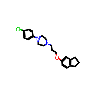 Clc1ccc(N2CCN(CCCOc3ccc4c(c3)CCC4)CC2)cc1